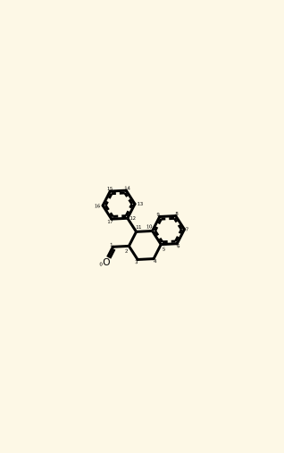 O=CC1CCc2ccccc2C1c1ccccc1